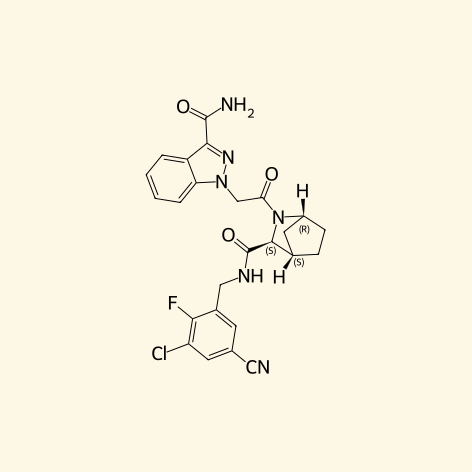 N#Cc1cc(Cl)c(F)c(CNC(=O)[C@@H]2[C@H]3CC[C@H](C3)N2C(=O)Cn2nc(C(N)=O)c3ccccc32)c1